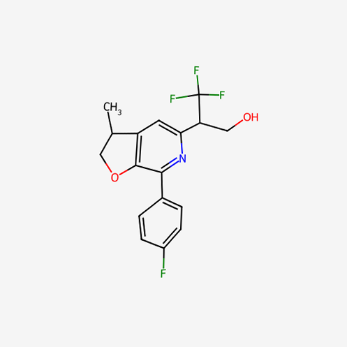 CC1COc2c1cc(C(CO)C(F)(F)F)nc2-c1ccc(F)cc1